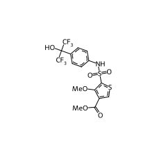 COC(=O)c1csc(S(=O)(=O)Nc2ccc(C(O)(C(F)(F)F)C(F)(F)F)cc2)c1OC